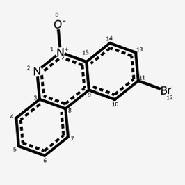 [O-][n+]1nc2ccccc2c2cc(Br)ccc21